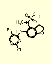 CN(c1c(Nc2nc(Cl)ncc2Br)ccc2c1CCO2)S(C)(=O)=O